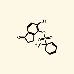 Cc1ccc2c(c1OS(=O)(=O)C1(C)C=CC=CC1)CCC2=O